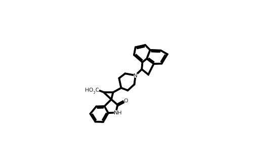 O=C(O)C1C(C2CCN(C3Cc4cccc5cccc3c45)CC2)C12C(=O)Nc1ccccc12